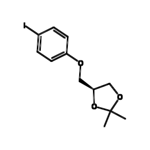 CC1(C)OC[C@H](COc2ccc(I)cc2)O1